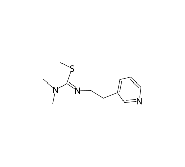 CSC(=NCCc1cccnc1)N(C)C